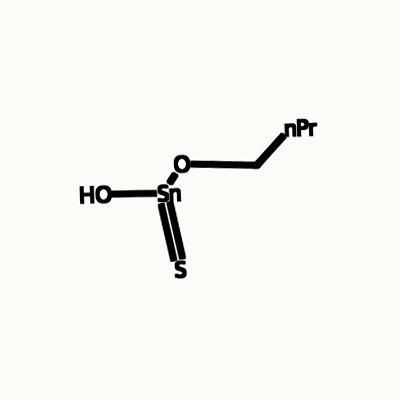 CCCC[O][Sn]([OH])=[S]